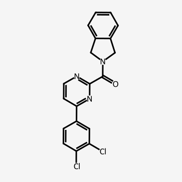 O=C(c1nccc(-c2ccc(Cl)c(Cl)c2)n1)N1Cc2ccccc2C1